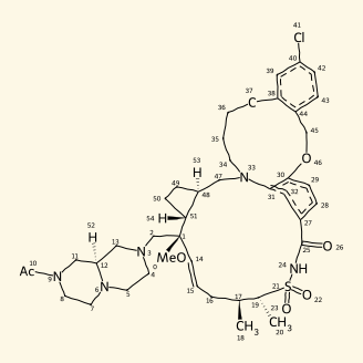 CO[C@]1(CN2CCN3CCN(C(C)=O)C[C@H]3C2)/C=C/C[C@H](C)[C@@H](C)S(=O)(=O)NC(=O)c2ccc3c(c2)N(CCCCc2cc(Cl)ccc2CO3)C[C@@H]2CC[C@H]21